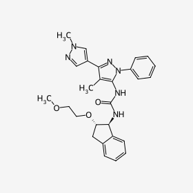 COCCO[C@H]1Cc2ccccc2[C@@H]1NC(=O)Nc1c(C)c(-c2cnn(C)c2)nn1-c1ccccc1